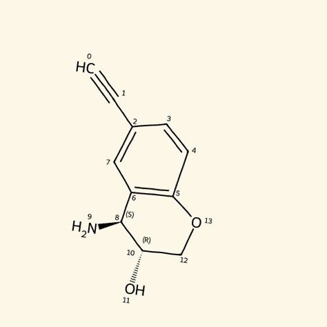 C#Cc1ccc2c(c1)[C@H](N)[C@@H](O)CO2